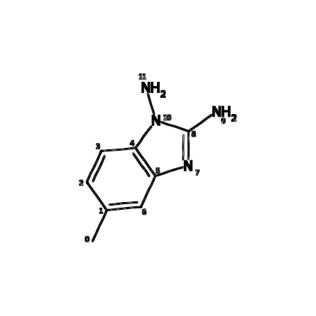 Cc1ccc2c(c1)nc(N)n2N